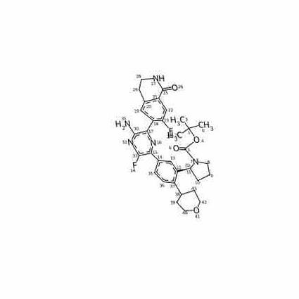 CC(C)(C)OC(=O)N1CCC[C@H]1c1cc(-c2nc(-c3cc4c(cc3F)C(=O)NCC4)c(N)nc2F)ccc1C1CCOCC1